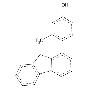 Oc1ccc(-c2cccc3c2Cc2ccccc2-3)c(C(F)(F)F)c1